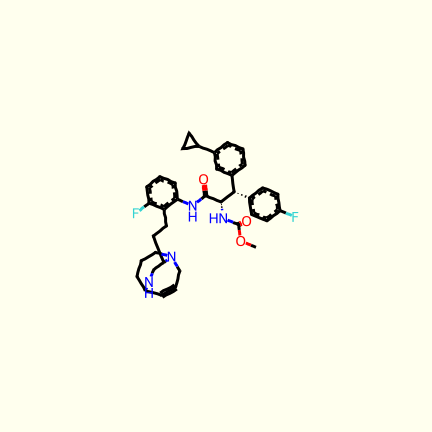 COC(=O)N[C@H](C(=O)Nc1cccc(F)c1CCC1CNC2C#CCN1CCC2)[C@@H](c1ccc(F)cc1)c1cccc(C2CC2)c1